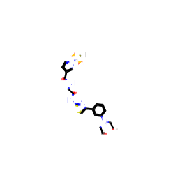 C[C@H]1CN(c2cccc(-c3csc(NC(=O)CNC(=O)c4ccn(S(C)(=O)=O)c4)n3)c2)C[C@H](C)O1